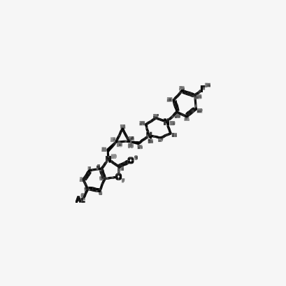 CC(=O)c1ccc2c(c1)oc(=O)n2C[C@H]1C[C@H]1CN1CCN(c2ccc(F)cc2)CC1